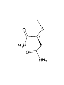 CS[C@@H](CC(N)=O)C(N)=O